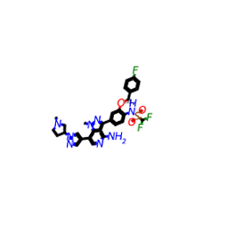 C[C@H](Oc1cc(-c2nn(C)c3c(-c4cnn(C5CCN(C)C5)c4)cnc(N)c23)ccc1NS(=O)(=O)C(F)F)c1ccc(F)cc1